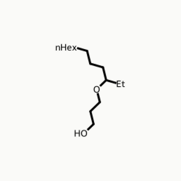 CCCCCCCCCC(CC)OCCCO